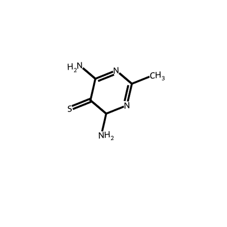 CC1=NC(N)C(=S)C(N)=N1